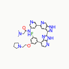 CN(C)CC(=O)Nc1cncc(-c2cc3c(-c4nc5c(-c6cc(F)cc(OCCN7CCCC7)c6)ccnc5[nH]4)n[nH]c3cn2)c1